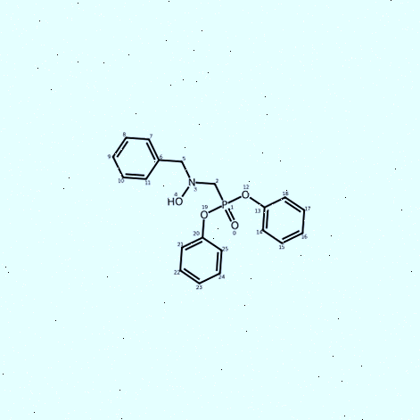 O=P(CN(O)Cc1ccccc1)(Oc1ccccc1)Oc1ccccc1